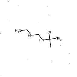 NCNCNC(N)(O)I